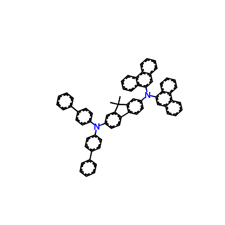 CC1(C)c2cc(N(c3ccc(-c4ccccc4)cc3)c3ccc(-c4ccccc4)cc3)ccc2-c2ccc(N(c3cc4ccccc4c4ccccc34)c3cc4ccccc4c4ccccc34)cc21